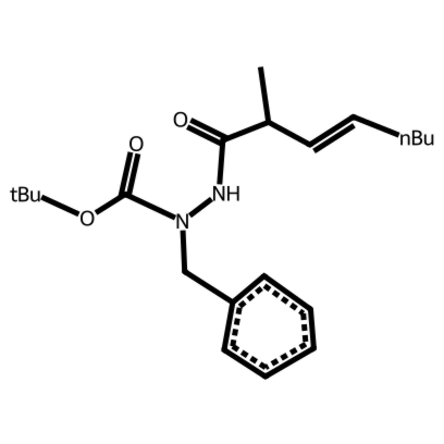 CCCCC=CC(C)C(=O)NN(Cc1ccccc1)C(=O)OC(C)(C)C